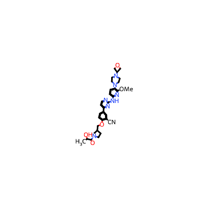 COc1nc(Nc2nccc(-c3ccc(OCC4CCN(C(=O)C(C)O)C4)c(C#N)c3)n2)ccc1N1CCN(C2COC2)CC1